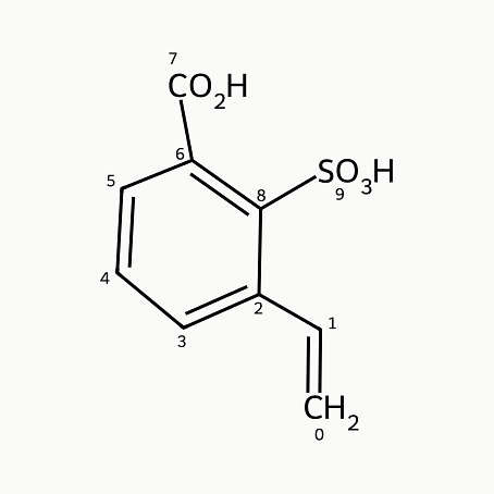 C=Cc1cccc(C(=O)O)c1S(=O)(=O)O